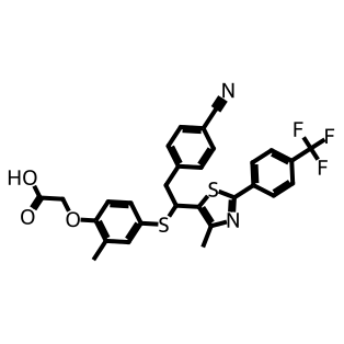 Cc1cc(SC(Cc2ccc(C#N)cc2)c2sc(-c3ccc(C(F)(F)F)cc3)nc2C)ccc1OCC(=O)O